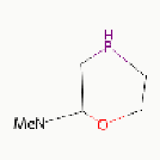 CNC1CPCCO1